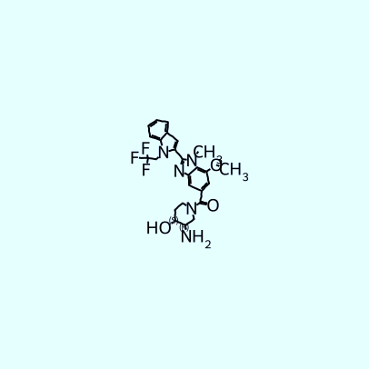 COc1cc(C(=O)N2CC[C@H](O)[C@H](N)C2)cc2nc(-c3cc4ccccc4n3CC(F)(F)F)n(C)c12